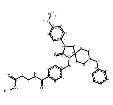 CC(C)(C)OC(=O)CCNC(=O)c1ccc(CN2C(=O)N(c3ccc(OC(F)(F)F)cc3)CC23CCN(Cc2ccccc2)CC3)cc1